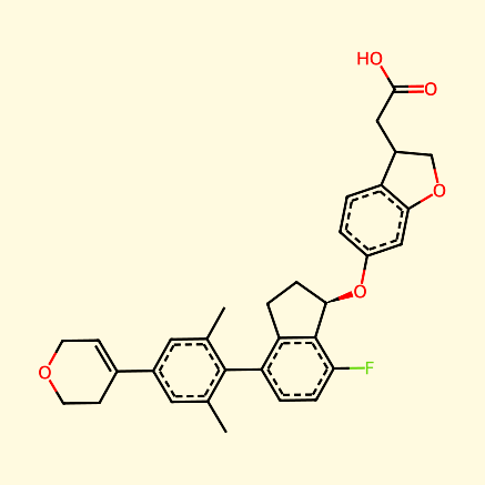 Cc1cc(C2=CCOCC2)cc(C)c1-c1ccc(F)c2c1CC[C@H]2Oc1ccc2c(c1)OCC2CC(=O)O